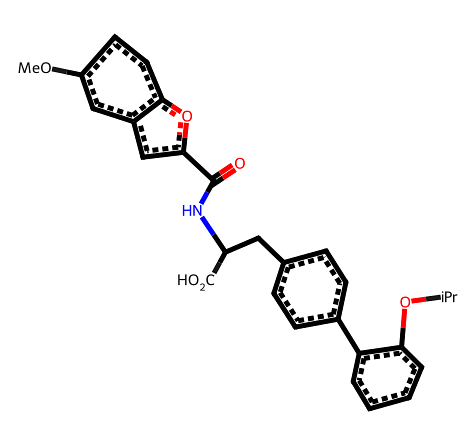 COc1ccc2oc(C(=O)NC(Cc3ccc(-c4ccccc4OC(C)C)cc3)C(=O)O)cc2c1